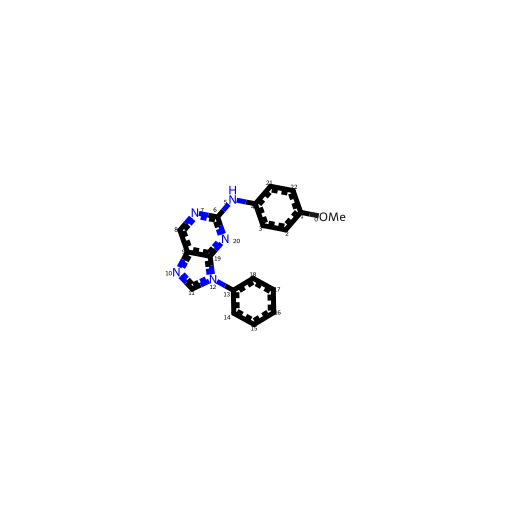 COc1ccc(Nc2ncc3ncn(-c4ccccc4)c3n2)cc1